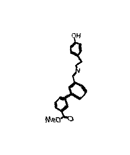 COC(=O)c1cccc(-c2cccc(C=NCCc3ccc(O)cc3)c2)c1